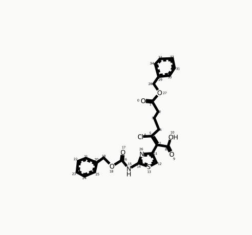 O=C(CCCC(Cl)=C(C(=O)O)c1csc(NC(=O)OCc2ccccc2)n1)OCc1ccccc1